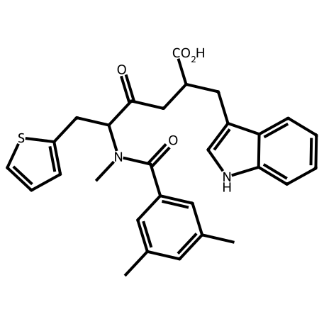 Cc1cc(C)cc(C(=O)N(C)C(Cc2cccs2)C(=O)CC(Cc2c[nH]c3ccccc23)C(=O)O)c1